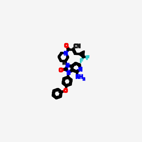 N#CC(=CC1CC1(F)F)C(=O)N1CCC[C@@H](n2c(=O)n(-c3ccc(Oc4ccccc4)cc3)c3c(N)nccc32)C1